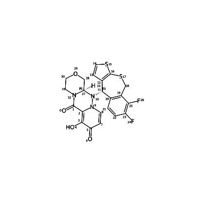 O=C1c2c(O)c(=O)ccn2N([C@@H]2c3ccsc3SCc3c2ccc(F)c3F)[C@@H]2COCCN12